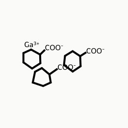 O=C([O-])C1CCCCC1.O=C([O-])C1CCCCC1.O=C([O-])C1CCCCC1.[Ga+3]